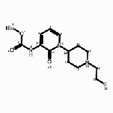 CC(C)(C)OC(=O)Nc1cccn(C2CCN(CCF)CC2)c1=O